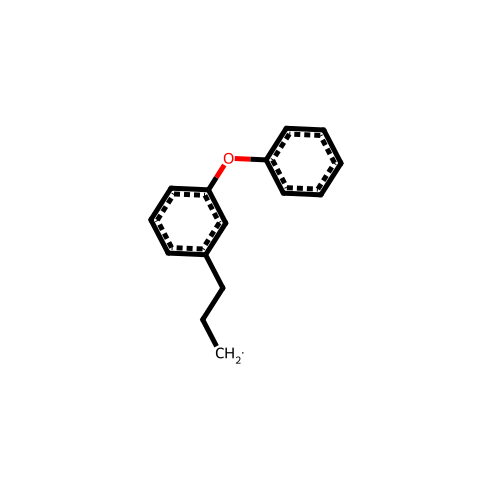 [CH2]CCc1cccc(Oc2ccccc2)c1